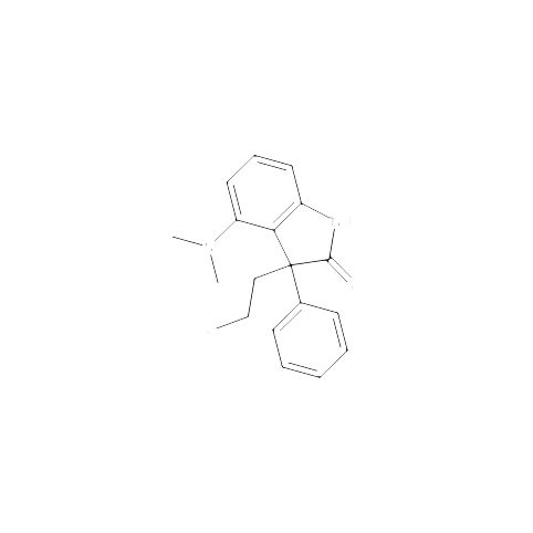 CN(C)c1cccc2c1C(CCBr)(c1ccccc1)C(=O)N2